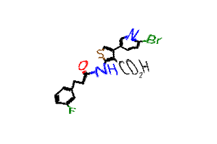 O=C(CCc1cccc(F)c1)Nc1scc(-c2ccc(Br)nc2)c1C(=O)O